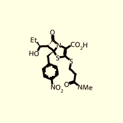 CC[C@H](O)[C@@H]1C(=O)N2C(C(=O)O)=C(SCCC(=O)NC)S[C@]12Cc1ccc([N+](=O)[O-])cc1